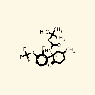 CC1CCC(=O)[C@@](NC(=O)OC(C)(C)C)(c2cccc(OC(F)(F)F)c2F)C1